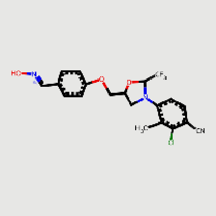 Cc1c(N2CC(COc3ccc(/C=N/O)cc3)OC2C(F)(F)F)ccc(C#N)c1Cl